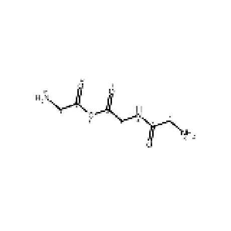 NCC(=O)NCC(=O)OC(=O)CN